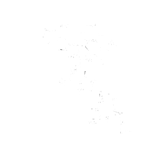 CCOC(=O)[C@H](Cc1ccccc1)NP(=O)(N[C@@H](Cc1ccccc1)C(=O)OCC)OC[C@@H](OCn1cnc2c(NC3CC3)nc(N)nc21)[C@H](O)C(C)O